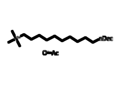 CC(=O)[O-].CCCCCCCCCCCCCCCCCCCC[N+](C)(C)C